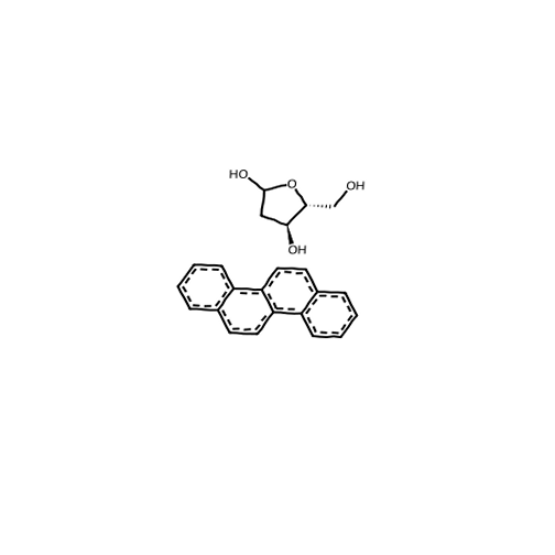 OC[C@H]1OC(O)C[C@@H]1O.c1ccc2c(c1)ccc1c3ccccc3ccc21